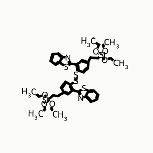 CCO[Si](CCc1ccc(SSc2ccc(CC[Si](OCC)(OCC)OCC)cc2-c2nc3ccccc3s2)c(-c2nc3ccccc3s2)c1)(OCC)OCC